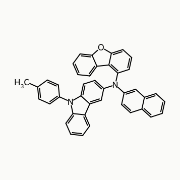 Cc1ccc(-n2c3ccccc3c3cc(N(c4ccc5ccccc5c4)c4cccc5oc6ccccc6c45)ccc32)cc1